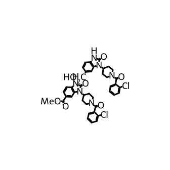 COC(=O)c1ccc2[nH]c(=O)n(C3CCN(C(=O)c4ccccc4Cl)CC3)c2c1.O=C(O)c1ccc2[nH]c(=O)n(C3CCN(C(=O)c4ccccc4Cl)CC3)c2c1